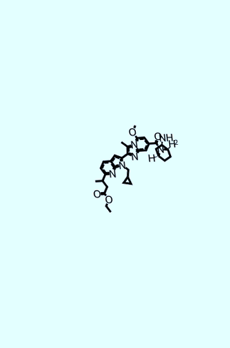 CCOC(=O)CC(C)c1ccc2cc(-c3nc4cc(C(=O)N5[C@H]6CC[C@@H]5[C@H](N)C6)cc(OC)n4c3C)n(CC3CC3)c2n1